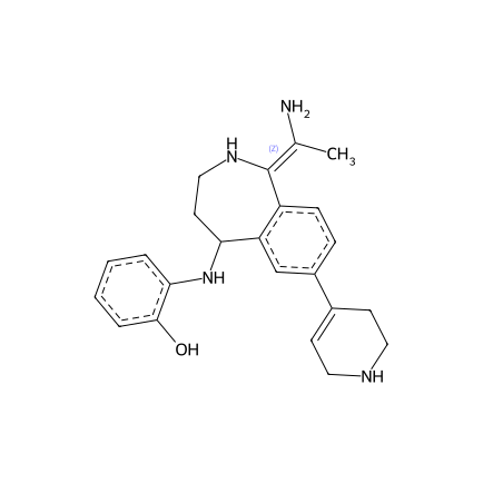 C/C(N)=C1/NCCC(Nc2ccccc2O)c2cc(C3=CCNCC3)ccc21